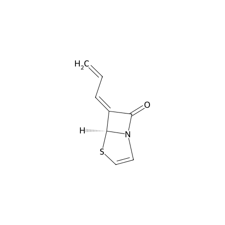 C=CC=C1C(=O)N2C=CS[C@@H]12